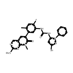 CSc1ncc2cc(-c3cc(NC(=O)Nc4cc(C(C)C)nn4-c4ccccc4)c(F)cc3C)c(=O)n(C)c2n1